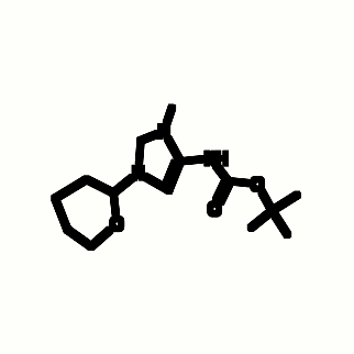 CN1CN(C2CCCCO2)C=C1NC(=O)OC(C)(C)C